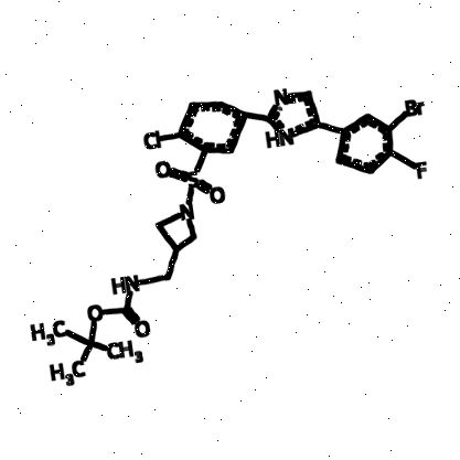 CC(C)(C)OC(=O)NCC1CN(S(=O)(=O)c2cc(-c3ncc(-c4ccc(F)c(Br)c4)[nH]3)ccc2Cl)C1